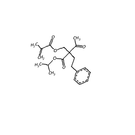 C=C(C)C(=O)OCC(CCc1ccccc1)(C(C)=O)C(=O)OC(C)C